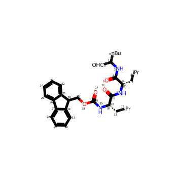 CCCCC(C=O)NC(=O)[C@H](CC(C)C)NC(=O)[C@H](CC(C)C)NC(=O)OCC1c2ccccc2-c2ccccc21